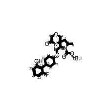 CC1CC2(COCC(=O)N2)C(COC2CCC(c3c(O)cccc3F)CC2)N1C(=O)OC(C)(C)C